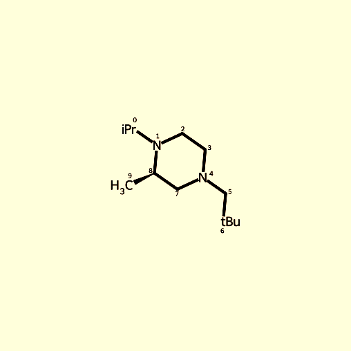 CC(C)N1CCN(CC(C)(C)C)C[C@H]1C